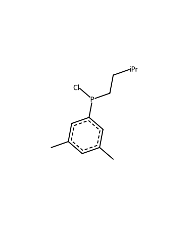 Cc1cc(C)cc(P(Cl)CCC(C)C)c1